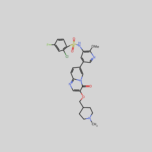 COc1ncc(-c2ccc3ncc(OCC4CCN(C)CC4)c(=O)n3c2)cc1NS(=O)(=O)c1ccc(F)cc1Cl